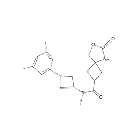 Cc1cc(C)cc(C2CC(N(C)C(=O)C3CC4(COC(=O)N4)C3)C2)c1